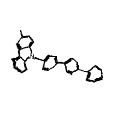 Cc1ccc2c(c1)c1ccccc1n2-c1ccc(-c2ccc(-c3ccccc3)cc2)cc1